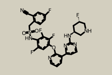 N#Cc1cc(F)ccc1CS(=O)(=O)Nc1c(F)cc(Oc2ncccc2-c2ccnc(N[C@@H]3CNC[C@@H](F)C3)n2)c(F)c1F